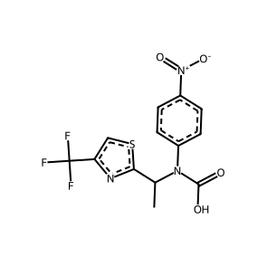 CC(c1nc(C(F)(F)F)cs1)N(C(=O)O)c1ccc([N+](=O)[O-])cc1